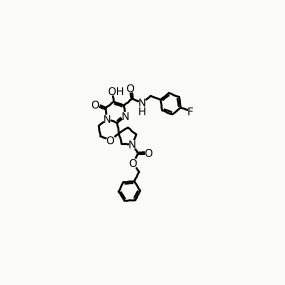 O=C(NCc1ccc(F)cc1)c1nc2n(c(=O)c1O)CCOC21CCN(C(=O)OCc2ccccc2)C1